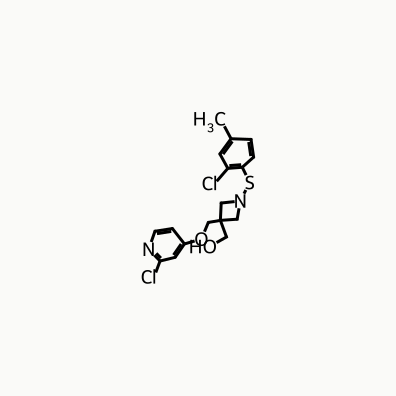 Cc1ccc(SN2CC(CO)(COc3ccnc(Cl)c3)C2)c(Cl)c1